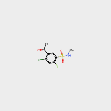 CCC(=O)c1cc(S(=O)(=O)NC(C)(C)C)c(F)cc1Cl